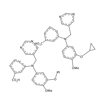 COc1ccc(N(Cc2cncnc2)c2cccc(C(=O)O)c2)cc1OC(C)C.COc1ccc(N(Cc2cncnc2)c2cccc(C(=O)O)c2)cc1OC1CC1